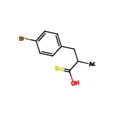 CC(=O)C(Cc1ccc(Br)cc1)C(O)=S